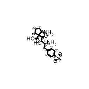 CS(=O)(=O)c1ccc(C[C@H](N)[C@H](O)C(=O)C2(C(=O)O)CCCC2N)cc1